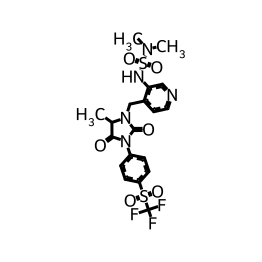 CC1C(=O)N(c2ccc(S(=O)(=O)C(F)(F)F)cc2)C(=O)N1Cc1ccncc1NS(=O)(=O)N(C)C